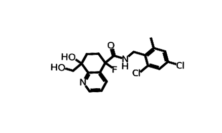 Cc1cc(Cl)cc(Cl)c1CNC(=O)C1(F)CCC(O)(CO)c2ncccc21